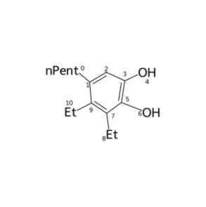 CCCCCc1cc(O)c(O)c(CC)c1CC